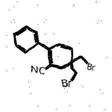 N#CC1=C(c2ccccc2)C=CC(CBr)(CBr)C1